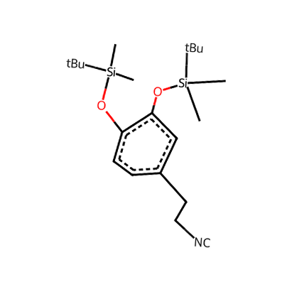 [C-]#[N+]CCc1ccc(O[Si](C)(C)C(C)(C)C)c(O[Si](C)(C)C(C)(C)C)c1